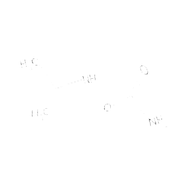 CC(C)NOC(N)=O